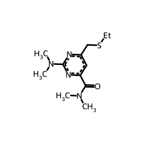 CCSCc1cc(C(=O)N(C)C)nc(N(C)C)n1